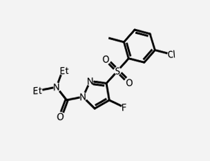 CCN(CC)C(=O)n1cc(F)c(S(=O)(=O)c2cc(Cl)ccc2C)n1